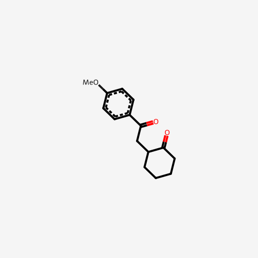 COc1ccc(C(=O)CC2CCCCC2=O)cc1